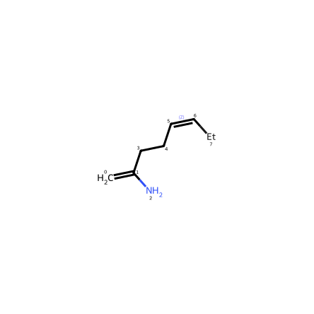 C=C(N)CC/C=C\CC